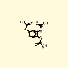 O=C(O)OC1CC2CC1C(OC(=O)O)C2OC(=O)O